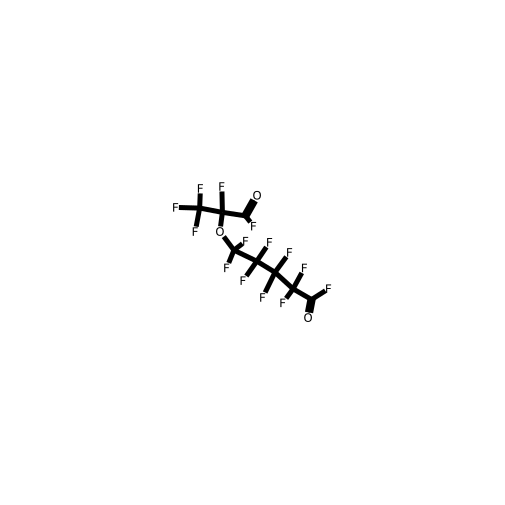 O=C(F)C(F)(F)C(F)(F)C(F)(F)C(F)(F)OC(F)(C(=O)F)C(F)(F)F